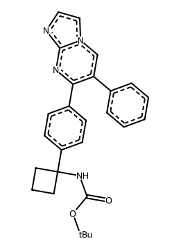 CC(C)(C)OC(=O)NC1(c2ccc(-c3nc4nccn4cc3-c3ccccc3)cc2)CCC1